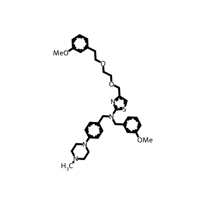 COc1cccc(CCOCCOCc2csc(N(Cc3ccc(N4CCN(C)CC4)cc3)Cc3cccc(OC)c3)n2)c1